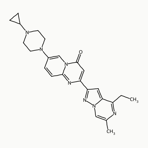 CCc1nc(C)cn2nc(-c3cc(=O)n4cc(N5CCN(C6CC6)CC5)ccc4n3)cc12